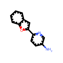 Nc1ccc(-c2cc3ccccc3o2)nc1